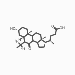 [2H]C([2H])(C)C1C(=O)C2C3CC[C@H]([C@H](C)CCC(=O)O)[C@@]3(C)CCC2[C@@]2(C)CC[C@@H](O)C[C@@H]12